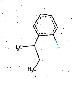 CCC(C)c1c[c]ccc1F